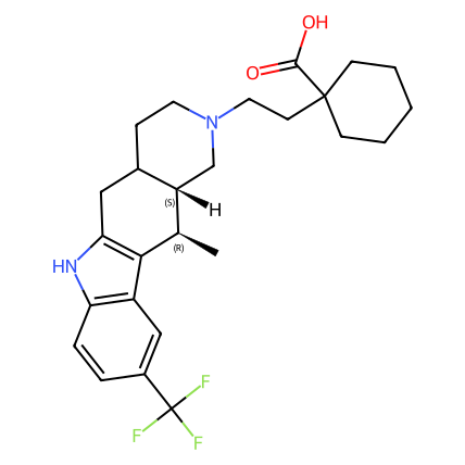 C[C@H]1c2c([nH]c3ccc(C(F)(F)F)cc23)CC2CCN(CCC3(C(=O)O)CCCCC3)C[C@@H]21